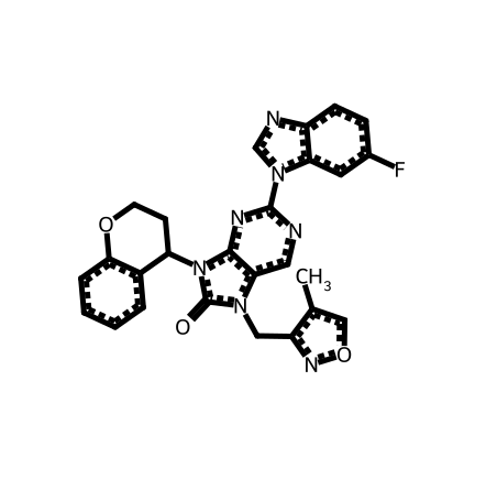 Cc1conc1Cn1c(=O)n(C2CCOc3ccccc32)c2nc(-n3cnc4ccc(F)cc43)ncc21